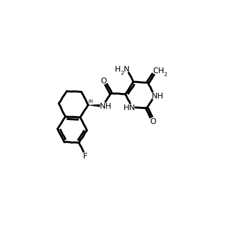 C=C1NC(=O)NC(C(=O)N[C@@H]2CCCc3ccc(F)cc32)=C1N